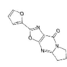 O=c1c2nc(-c3ccco3)oc2nc2n1CCC2